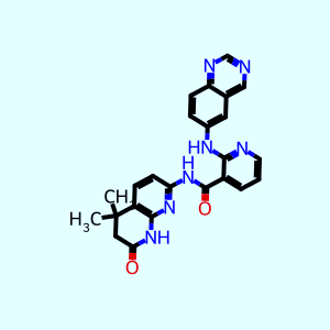 CC1(C)CC(=O)Nc2nc(NC(=O)c3cccnc3Nc3ccc4ncncc4c3)ccc21